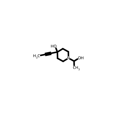 CC#CC1(O)CCN(C(C)O)CC1